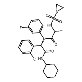 CC(NS(=O)(=O)N1CC1)C(=O)N(c1cccc(F)c1)[C@@H](C(=O)NC1CCCCC1)c1ccccc1Cl